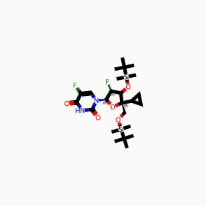 CC(C)(C)[Si](C)(C)OC[C@@]1(C2CC2)O[C@@H](n2cc(F)c(=O)[nH]c2=O)[C@@H](F)C1O[Si](C)(C)C(C)(C)C